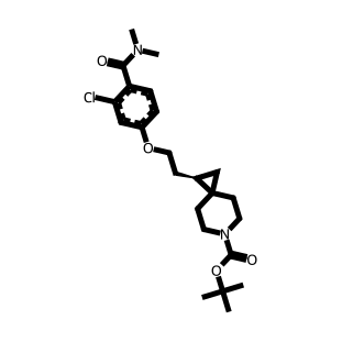 CN(C)C(=O)c1ccc(OCC[C@H]2CC23CCN(C(=O)OC(C)(C)C)CC3)cc1Cl